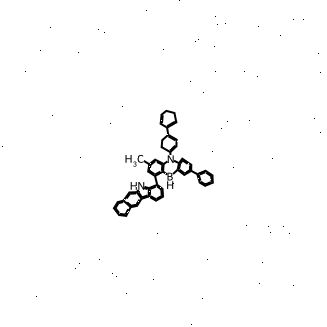 Cc1cc(-c2cccc3c2[nH]c2cc4ccccc4cc23)c2c(c1)N(C1=CC=C(C3=CCCC=C3)CC1)c1ccc(-c3ccccc3)cc1B2